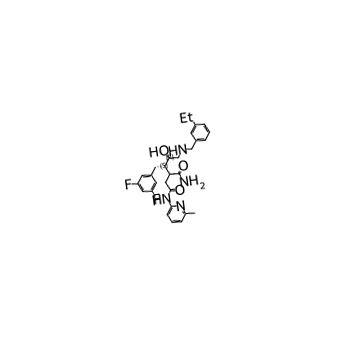 CCc1cccc(CNC[C@H](O)[C@@H](Cc2cc(F)cc(F)c2)C(CC(=O)Nc2cccc(C)n2)C(N)=O)c1